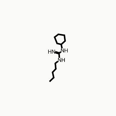 CCCCCNC(=N)NC1CCCCC1